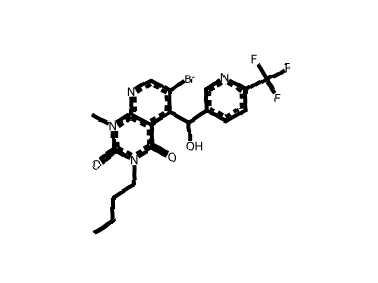 CCCCn1c(=O)c2c(C(O)c3ccc(C(F)(F)F)nc3)c(Br)cnc2n(C)c1=O